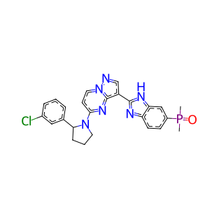 CP(C)(=O)c1ccc2nc(-c3cnn4ccc(N5CCCC5c5cccc(Cl)c5)nc34)[nH]c2c1